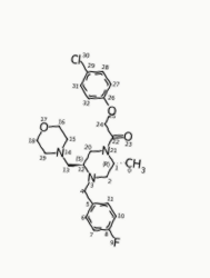 C[C@@H]1CN(Cc2ccc(F)cc2)[C@@H](CN2CCOCC2)CN1C(=O)COc1ccc(Cl)cc1